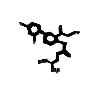 CC(=O)N[C@H](CSC(=O)Oc1ccc(-c2ccc(F)cc2F)cc1C(=O)OC(C)C)C(=O)O